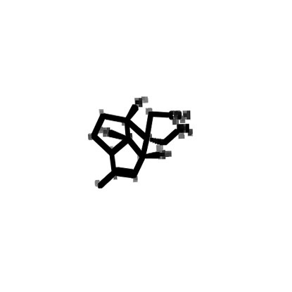 CC1=C[C@@H]2[C@@H]3C1CC[C@@H]3[C@@]2(CN)CC(=O)O